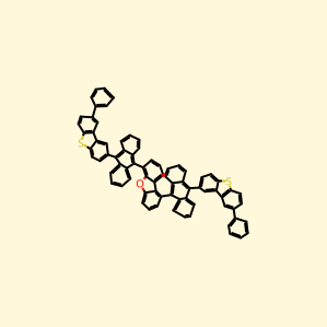 c1ccc(-c2ccc3sc4ccc(-c5c6ccccc6c(-c6cccc7c6oc6cccc(-c8c9ccccc9c(-c9ccc%10sc%11ccc(-c%12ccccc%12)cc%11c%10c9)c9ccccc89)c67)c6ccccc56)cc4c3c2)cc1